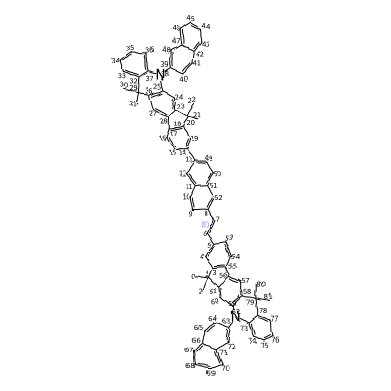 CC1(C)c2cc(/C=C/c3ccc4cc(-c5ccc6c(c5)C(C)(C)c5cc7c(cc5-6)C(C)(C)c5ccccc5N7c5ccc6ccccc6c5)ccc4c3)ccc2-c2cc3c(cc21)N(c1ccc2ccccc2c1)c1ccccc1C3(C)C